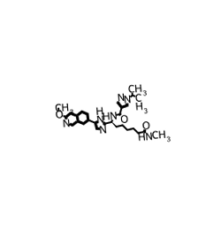 CNC(=O)CCCCC[C@H](NC(=O)c1cnn(C(C)C)c1)c1ncc(-c2ccc3cc(OC)ncc3c2)[nH]1